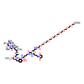 CC[C@H](C)[C@H](NC(=O)[C@H](C(C)C)N(C)C)C(=O)N(C)[C@H](C[C@@H](OC(C)=O)c1nc(C(=O)N[C@H](CCC(=O)O)Cc2ccc(O)c(NC(=O)CCCNC(=O)[C@H](CCCCNC(=O)COCCOCCOCCOCCOCCOCCOCCOCCOCCOC)NC(=O)CCCN3C(=O)C=CC3=O)c2)cs1)C(C)C